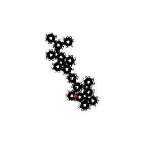 c1ccc(-c2cc(-c3ccccc3)cc(-n3c4ccccc4c4c5c(ccc43)C(c3ccccc3)(c3ccc(-c4ccc(-c6cc(-c7ccccc7)cc(-n7c8ccccc8c8ccc9c(c87)-c7ccccc7C9(c7ccccc7)c7ccccc7)c6)cc4)cc3)c3ccccc3-5)c2)cc1